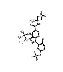 C[C@H](n1nc(-c2cc(OC(F)(F)F)ccc2F)c2ncc(C(=O)NC3(C)CS(=O)(=O)C3)cc21)C(C)(C)O